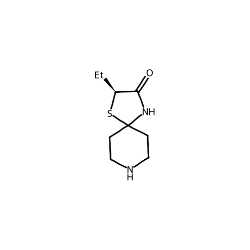 CC[C@@H]1SC2(CCNCC2)NC1=O